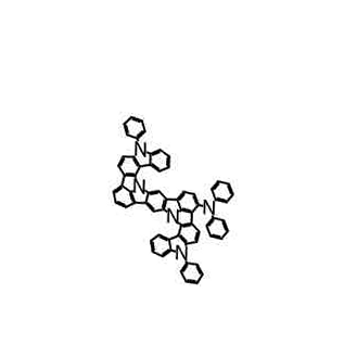 c1ccc(N(c2ccccc2)c2ccc3c4cc5c(cc4n4c3c2c2ccc3c(c6ccccc6n3-c3ccccc3)c24)c2cccc3c4ccc6c(c7ccccc7n6-c6ccccc6)c4n5c23)cc1